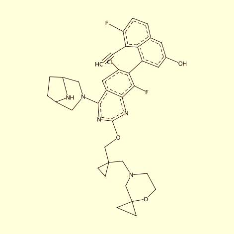 C#Cc1c(F)ccc2cc(O)cc(-c3c(Cl)cc4c(N5CC6CCC(C5)N6)nc(OCC5(CN6CCOC7(CC7)C6)CC5)nc4c3F)c12